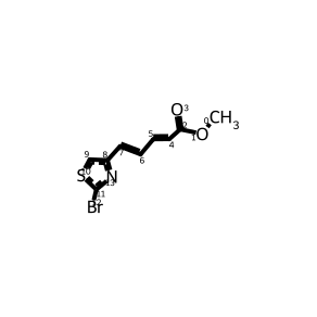 COC(=O)/C=C/C=C/c1csc(Br)n1